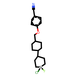 N#Cc1ccc(OCC2CCC(C3CC[Si](F)(Cl)CC3)CC2)cc1